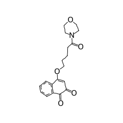 O=C1C=C(OCCCCC(=O)N2CCOCC2)c2ccccc2C1=O